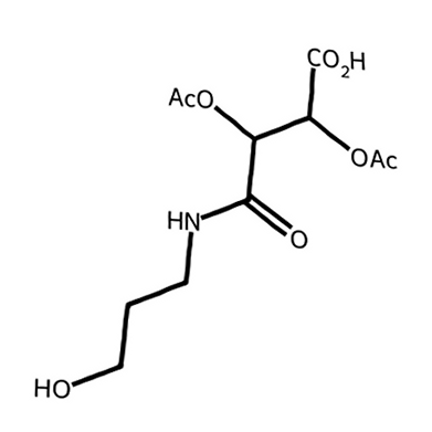 CC(=O)OC(C(=O)O)C(OC(C)=O)C(=O)NCCCO